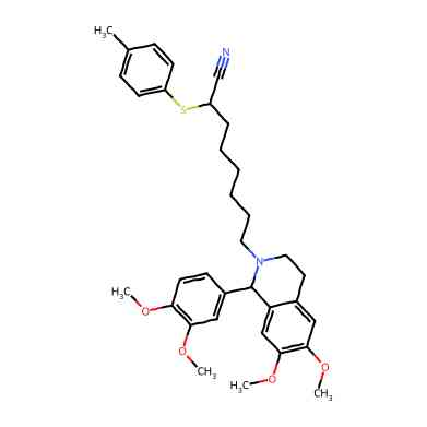 COc1ccc(C2c3cc(OC)c(OC)cc3CCN2CCCCCCC(C#N)Sc2ccc(C)cc2)cc1OC